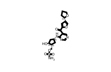 NS(=O)(=O)OC[C@H]1C[C@@H](Nc2ncncc2C(=O)c2cc([C@@H]3CCCO3)co2)C[C@@H]1O